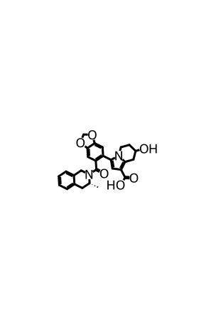 C[C@@H]1Cc2ccccc2CN1C(=O)c1cc2c(cc1-c1cc(C(=O)O)c3n1CCC(O)C3)OCO2